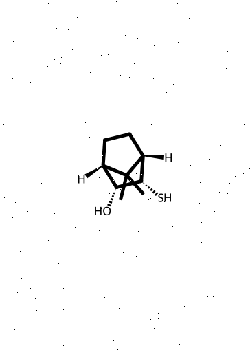 CC1(C)[C@@H]2CC[C@H]1[C@@H](O)[C@H]2S